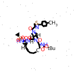 Cc1ccc(-c2nc(C(=O)N3C[C@H]4CN5C(=O)[C@@H](NC(=O)OC(C)(C)C)CCCCC/C=C\[C@@H]6C[C@@]6(C(=O)NS(=O)(=O)C6CC6)NC(=O)[C@@H]5[C@H]4C3)cs2)cc1